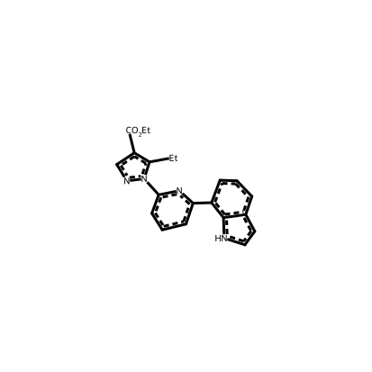 CCOC(=O)c1cnn(-c2cccc(-c3cccc4cc[nH]c34)n2)c1CC